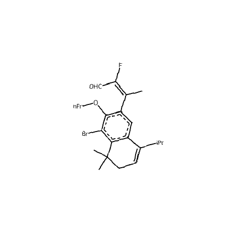 CCCOc1c(/C(C)=C(/F)C=O)cc2c(c1Br)C(C)(C)CC=C2C(C)C